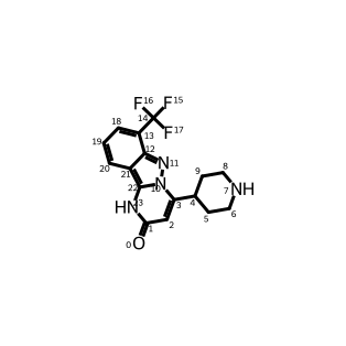 O=c1cc(C2CCNCC2)n2nc3c(C(F)(F)F)cccc3c2[nH]1